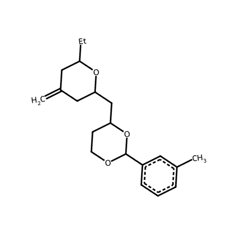 C=C1CC(CC)OC(CC2CCOC(c3cccc(C)c3)O2)C1